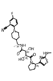 CNc1nc([C@H]2CCCN2C(=O)[C@H](O)[C@@H](O)C(=O)N[C@H](C)C2CCN(c3ccc(F)cc3C#N)CC2)cs1